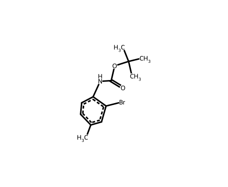 Cc1ccc(NC(=O)OC(C)(C)C)c(Br)c1